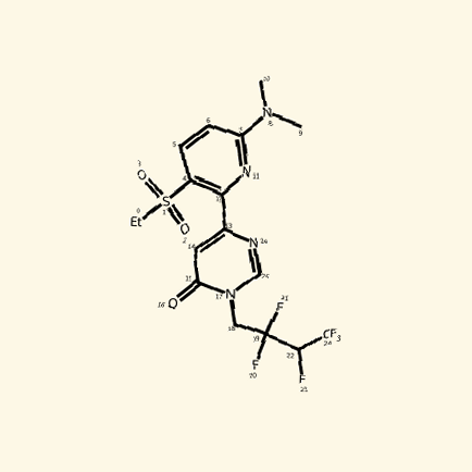 CCS(=O)(=O)c1ccc(N(C)C)nc1-c1cc(=O)n(CC(F)(F)C(F)C(F)(F)F)cn1